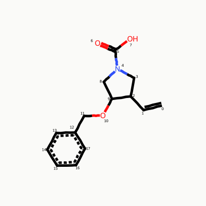 C=CC1CN(C(=O)O)CC1OCc1ccccc1